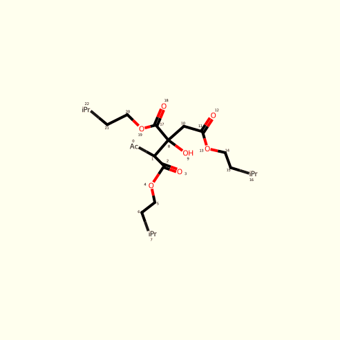 CC(=O)C(C(=O)OCCC(C)C)C(O)(CC(=O)OCCC(C)C)C(=O)OCCC(C)C